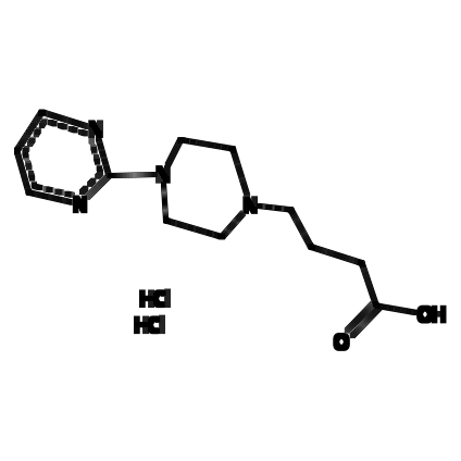 Cl.Cl.O=C(O)CCCN1CCN(c2ncccn2)CC1